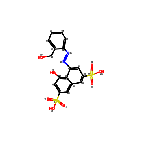 O=S(=O)(O)c1cc(O)c2c(N=Nc3ccccc3CO)cc(S(=O)(=O)O)cc2c1